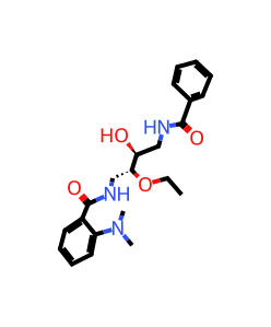 CCO[C@H](CNC(=O)c1ccccc1N(C)C)[C@@H](O)CNC(=O)c1ccccc1